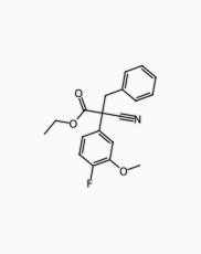 CCOC(=O)C(C#N)(Cc1ccccc1)c1ccc(F)c(OC)c1